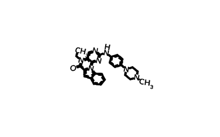 CCn1c(=O)c2cc3ccccc3n2c2nc(Nc3ccc(N4CCN(C)CC4)cc3)ncc21